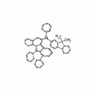 CC1(C)c2ccccc2-c2ccc(N(c3ccccc3)c3cc4ccccc4c4c3c3cccc(-c5ccccc5)c3n4-c3ccccc3)cc21